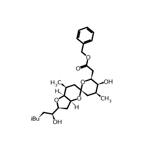 CC[C@H](C)C[C@H](O)[C@@H]1C[C@@H]2O[C@]3(C[C@H](C)[C@H](O)[C@H](CC(=O)OCc4ccccc4)O3)C[C@H](C)[C@@H]2O1